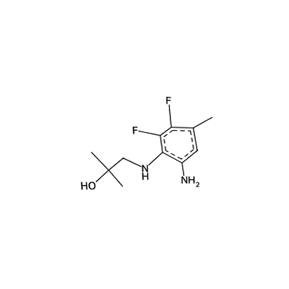 Cc1cc(N)c(NCC(C)(C)O)c(F)c1F